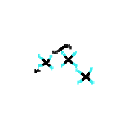 CC#N.F[B-](F)(F)F.F[B-](F)(F)F.F[B-](F)(F)F.[Ir+3]